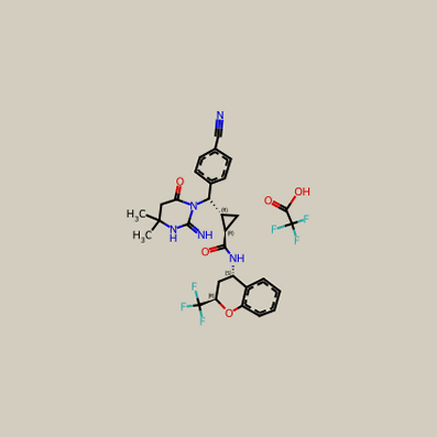 CC1(C)CC(=O)N(C(c2ccc(C#N)cc2)[C@@H]2C[C@H]2C(=O)N[C@H]2C[C@H](C(F)(F)F)Oc3ccccc32)C(=N)N1.O=C(O)C(F)(F)F